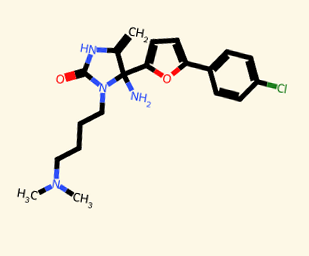 C=C1NC(=O)N(CCCCN(C)C)C1(N)c1ccc(-c2ccc(Cl)cc2)o1